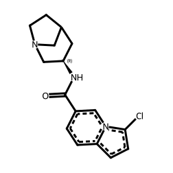 O=C(N[C@@H]1CC2CCN(C2)C1)c1ccc2ccc(Cl)n2c1